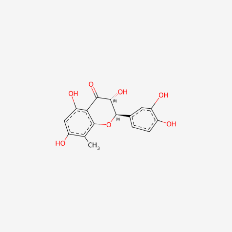 Cc1c(O)cc(O)c2c1O[C@H](c1ccc(O)c(O)c1)[C@@H](O)C2=O